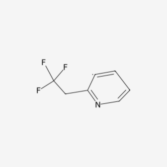 FC(F)(F)Cc1[c]cccn1